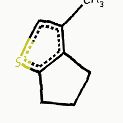 Cc1csc2c1CCC2